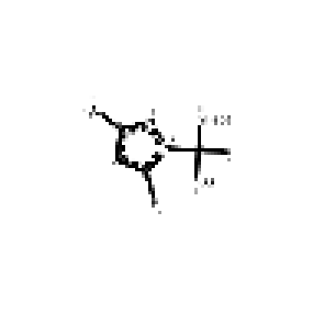 CCCCCCCC(C)(CCCC)n1nc(C(F)(F)F)cc1F